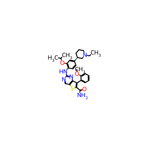 CCN1CCC[C@H](c2ccc(Nc3ncc4sc(C(N)=O)c(-c5ccccc5OC)c4n3)c(OC(C)C)c2)C1